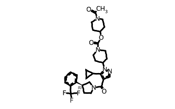 CC(=O)N1CCC(OC(=O)N2CCC(n3ncc(C(=O)N4CC[C@@H](c5ccccc5C(F)(F)F)C4)c3C3CC3)CC2)CC1